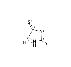 CC1=NC(=S)CN1.I